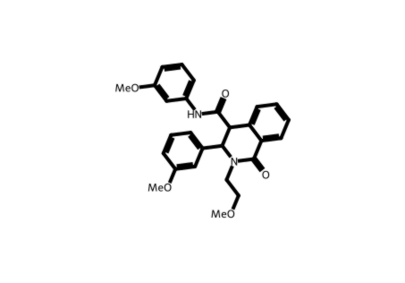 COCCN1C(=O)c2ccccc2C(C(=O)Nc2cccc(OC)c2)C1c1cccc(OC)c1